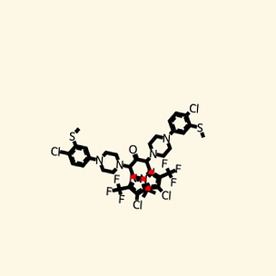 CSc1cc(N2CCN(C(Cn3nc(C(F)(F)F)c(Cl)c3C)C(=O)C(Cn3nc(C(F)(F)F)c(Cl)c3C)N3CCN(c4ccc(Cl)c(SC)c4)CC3)CC2)ccc1Cl